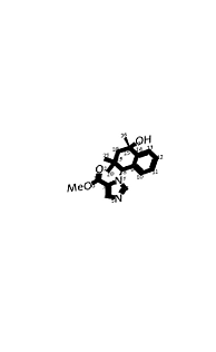 COC(=O)c1cncn1[C@H]1c2ccccc2[C@@](C)(O)CC1(C)C